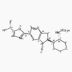 O=C(O)N[C@@H]1CCCC[C@H]1N1Cc2ccc(-c3nnc(C(F)F)o3)cc2C1=O